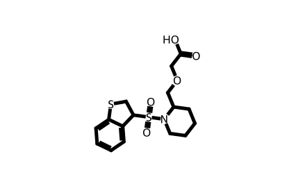 O=C(O)COCC1CCCCN1S(=O)(=O)C1CSc2ccccc21